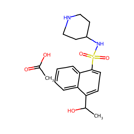 CC(=O)O.CC(O)c1ccc(S(=O)(=O)NC2CCNCC2)c2ccccc12